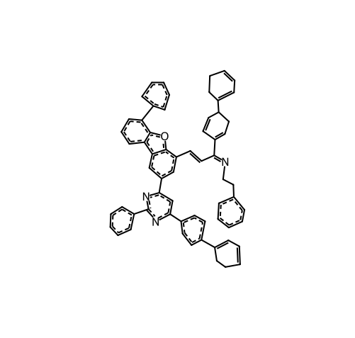 C1=CCCC(c2ccc(-c3cc(-c4cc(/C=C/C(=N\CCc5ccccc5)C5=CCC(C6=CC=CCC6)C=C5)c5oc6c(-c7ccccc7)cccc6c5c4)nc(-c4ccccc4)n3)cc2)=C1